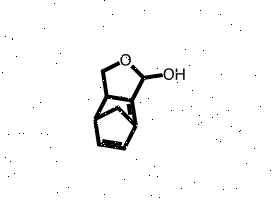 OC1OCC2C1=C1C=CC2C1